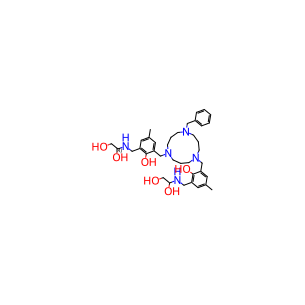 Cc1cc(CNC(O)CO)c(O)c(CN2CCCN(Cc3ccccc3)CCCN(Cc3cc(C)cc(CN[C@H](O)CO)c3O)CCC2)c1